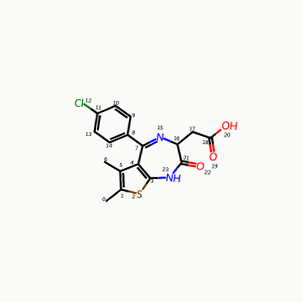 Cc1sc2c(c1C)C(c1ccc(Cl)cc1)=NC(CC(=O)O)C(=O)N2